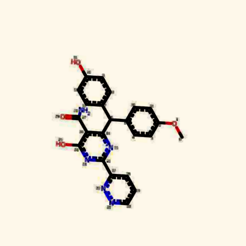 COc1ccc(C(c2ccc(O)cc2)c2nc(-c3cccnn3)nc(O)c2C(N)=O)cc1